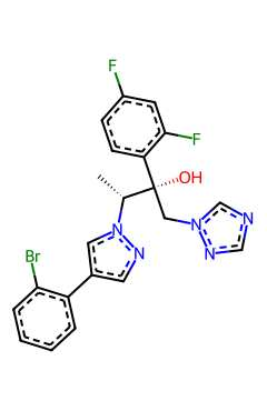 C[C@@H](n1cc(-c2ccccc2Br)cn1)[C@](O)(Cn1cncn1)c1ccc(F)cc1F